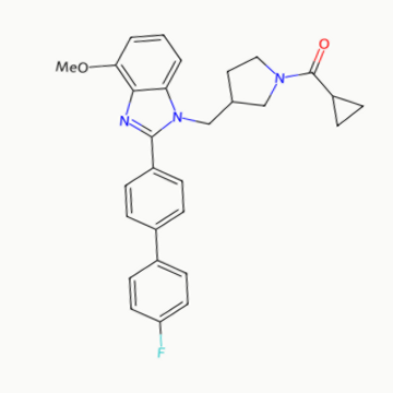 COc1cccc2c1nc(-c1ccc(-c3ccc(F)cc3)cc1)n2CC1CCN(C(=O)C2CC2)C1